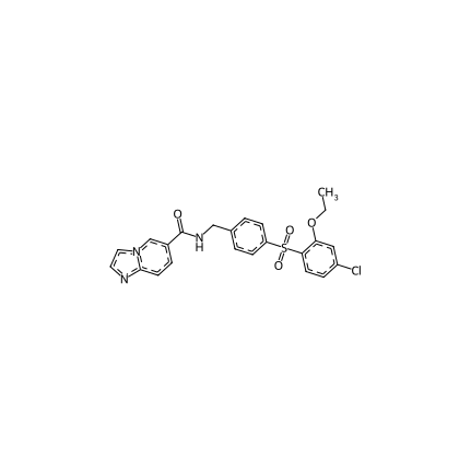 CCOc1cc(Cl)ccc1S(=O)(=O)c1ccc(CNC(=O)c2ccc3nccn3c2)cc1